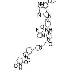 CCOc1cc(-c2ccc(N3CCC(CN4CCN(C(=O)CCN5CCC(c6ccc7c(c6)C(=O)N(C6CCC(=O)NC6=O)C7)CC5)CC4)(NC(=O)c4ncccc4F)CC3)nc2)c2c(C#N)cnn2c1